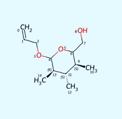 C=CCOC1OC(CO)[C@@H](C)[C@H](C)[C@H]1C